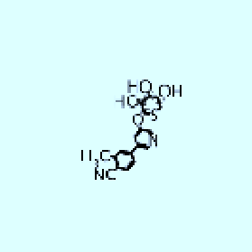 Cc1cc(-c2cncc(O[C@H]3SC[C@@H](O)[C@H](O)[C@H]3O)c2)ccc1C#N